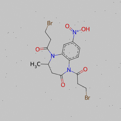 CC1CC(=O)N(C(=O)CCBr)c2ccc([N+](=O)O)cc2N1C(=O)CCBr